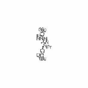 Cc1c(Nc2ccc(S(C)(=O)=O)cc2F)ncnc1N(CC1CCN(OC(=O)C(C)(C)C)CC1)C(C)C